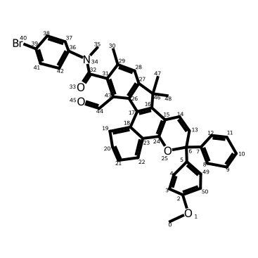 COc1ccc(C2(c3ccccc3)C=Cc3c4c(c5ccccc5c3O2)-c2c(cc(C)c(C(=O)N(C)c3ccc(Br)cc3)c2C=O)C4(C)C)cc1